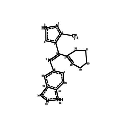 FC(F)(F)c1n[nH]cc1/C(=N/c1ccc2[nH]ncc2c1)C1=CCCCC1